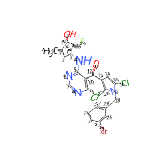 [CH2][C@@H]1C[C@@H](Nc2ncncc2C(=O)c2cc(Cl)n(Cc3cccc(Br)c3)c2Cl)[C@@H](F)[C@@H]1O